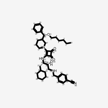 CCCCCCO[C@@H](c1ccccc1)C1CCCN(c2c(N[C@@H](CC3CCCCC3)[C@H](O)CNCc3ccc(C#N)cc3)c(=O)c2=O)C1